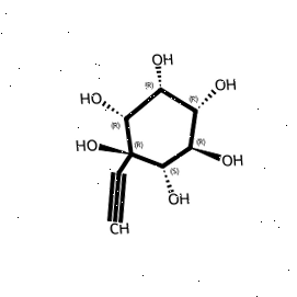 C#C[C@]1(O)[C@H](O)[C@H](O)[C@H](O)[C@@H](O)[C@@H]1O